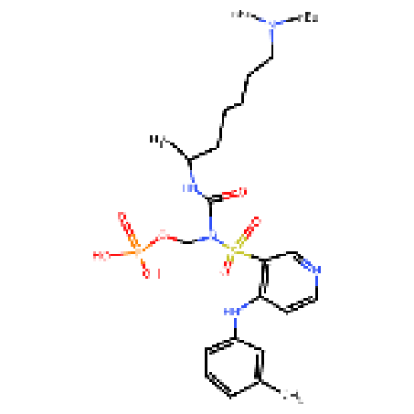 CCCCN(CCCC)CCCCCC(C)NC(=O)N(COP(=O)(O)O)S(=O)(=O)c1cnccc1Nc1cccc(C)c1